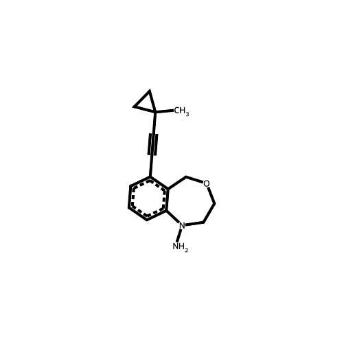 CC1(C#Cc2cccc3c2COCCN3N)CC1